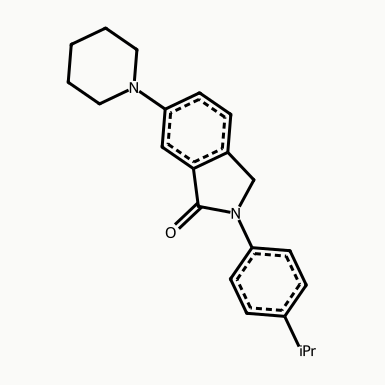 CC(C)c1ccc(N2Cc3ccc(N4CCCCC4)cc3C2=O)cc1